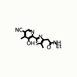 CCNC(=O)Cc1nc(-c2ncc(C#N)c(C)c2O)sc1C